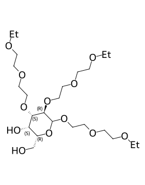 CCOCCOCCOC1O[C@H](CO)[C@H](O)[C@H](OCCOCCOCC)[C@H]1OCCOCCOCC